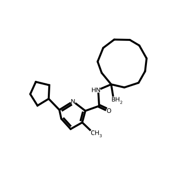 BC1(NC(=O)c2nc(C3CCCC3)ccc2C)CCCCCCCCCC1